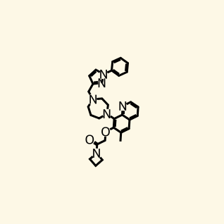 Cc1cc2cccnc2c(N2CCCN(Cc3ccn(-c4ccccc4)n3)CC2)c1OCC(=O)N1CCC1